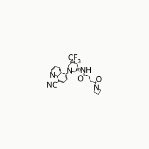 N#Cc1ccc(N2C[C@@H](NC(=O)CCC(=O)N3CCC3)C[C@@H](C(F)(F)F)C2)c2cccnc12